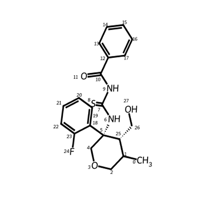 CC1COC[C@@](NC(=S)NC(=O)c2ccccc2)(c2ccccc2F)[C@@H]1CO